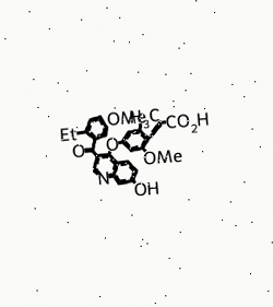 CCc1ccccc1C(=O)c1cnc2cc(O)ccc2c1Oc1cc(OC)c(/C=C(\C)C(=O)O)c(OC)c1